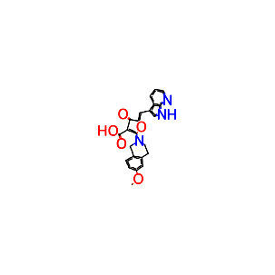 COc1ccc2c(c1)CCN(C1=C(C(=O)O)C(=O)C(=Cc3c[nH]c4ncccc34)O1)C2